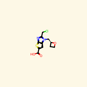 O=C(O)c1cc2c(nc(CCl)n2C[C@@H]2CCO2)s1